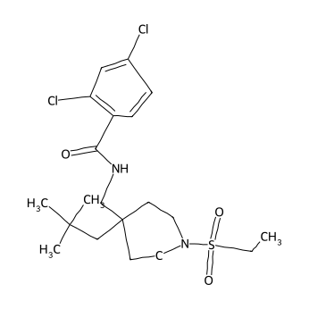 CCS(=O)(=O)N1CCC(CNC(=O)c2ccc(Cl)cc2Cl)(CC(C)(C)C)CC1